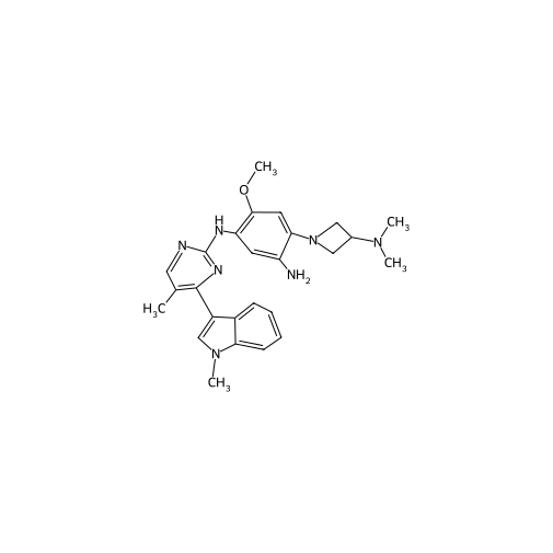 COc1cc(N2CC(N(C)C)C2)c(N)cc1Nc1ncc(C)c(-c2cn(C)c3ccccc23)n1